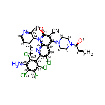 C=CC(=O)N1CCN(c2c(C#N)c(=O)n(C3C(C(C)C)=NC=C[C@H]3C)c3nc(-c4c(Cl)c(N)c(Cl)c(F)c4Cl)c(Cl)cc23)CC1